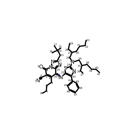 CCCCC1=C(C#N)C(=O)n2nc(CC(C)(C)C)nc2/C1=N\c1sc(N(CC(CC)CCCC)CC(CC)CCCC)nc1-c1ccccc1